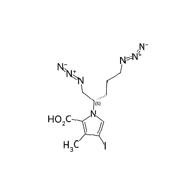 Cc1c(I)cn([C@@H](CCCN=[N+]=[N-])CN=[N+]=[N-])c1C(=O)O